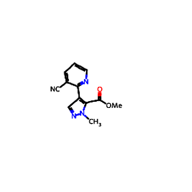 COC(=O)c1c(-c2ncccc2C#N)cnn1C